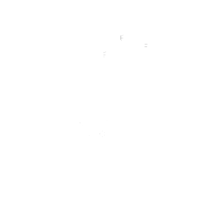 O=C(OC1CC(c2ccc(C(F)F)c(F)c2)C1)c1ccccc1